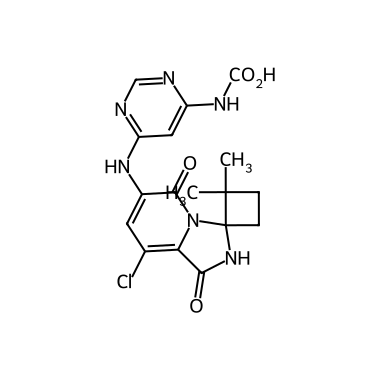 CC1(C)CCC12NC(=O)c1c(Cl)cc(Nc3cc(NC(=O)O)ncn3)c(=O)n12